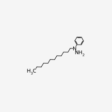 CCCCCCCCCCCCN(N)c1ccccc1